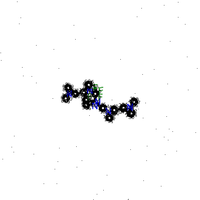 Fc1c(F)c(-c2nc(-c3ccc(-n4c5ccccc5c5cc(-c6ccc7c(c6)c6ccccc6n7-c6ccccc6)ccc54)cc3)nc3c2-c2cccc4cccc-3c24)c(F)c(-n2c3ccccc3c3cc(-c4ccc5c(c4)c4ccccc4n5-c4ccccc4)ccc32)c1F